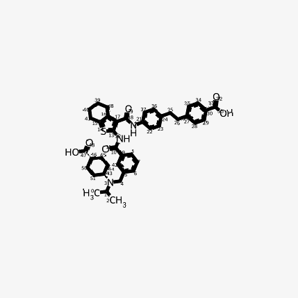 CC(C)N(Cc1cccc(C(=O)Nc2sc3c(c2C(=O)Nc2ccc(CCc4ccc(C(=O)O)cc4)cc2)CCCC3)c1)[C@H]1CC[C@@H](C(=O)O)CC1